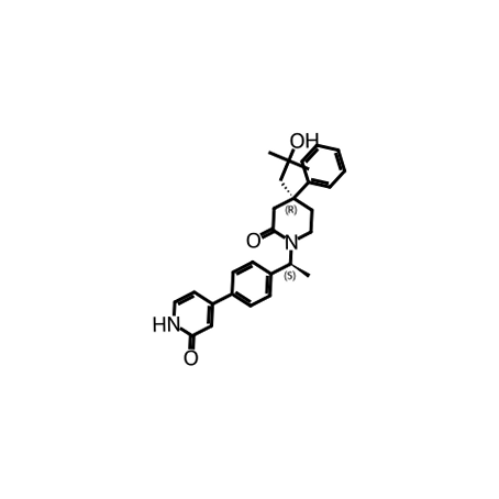 C[C@@H](c1ccc(-c2cc[nH]c(=O)c2)cc1)N1CC[C@](CC(C)(C)O)(c2ccccc2)CC1=O